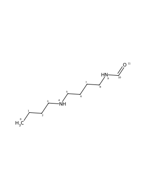 CCCCNCCCCNC=O